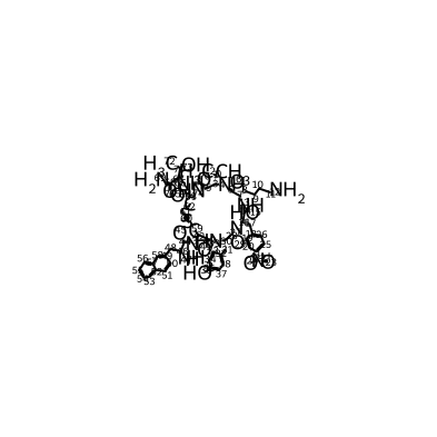 CC(C)[C@@H]1NC(=O)[C@H](CCCCN)NC(=O)[C@@H](Cc2ccc([N+](=O)[O-])cc2)NC(=O)[C@H](Cc2ccc(O)cc2)NC(=O)[C@@H](NC(=O)[C@H](N)Cc2ccc3ccccc3c2)CSSC[C@@H](C(=O)N[C@H](C(N)=O)C(C)O)NC1=O